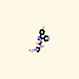 CN1CC[C@H](NC(=O)Cn2cnc(-c3ccc(Cl)cc3)c2-c2ccncc2)C1